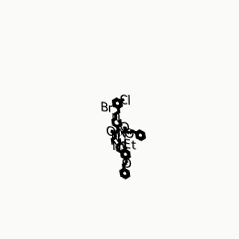 CCSc1ccc(OCc2ccccc2)cc1CN1CCN(C(=O)[C@H](NC(=O)OCc2ccccc2)C2CCN(CCc3cc(Cl)ccc3Br)CC2)CC1